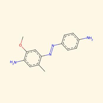 COc1cc(N=Nc2ccc(N)cc2)c(C)cc1N